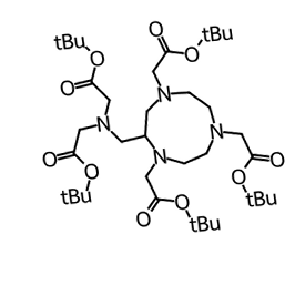 CC(C)(C)OC(=O)CN1CCN(CC(=O)OC(C)(C)C)CC(CN(CC(=O)OC(C)(C)C)CC(=O)OC(C)(C)C)N(CC(=O)OC(C)(C)C)CC1